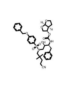 CC(C)(CCC#N)CN(C[C@@H](O)[C@H](Cc1ccccc1)NC(=O)O[C@H]1CO[C@H]2OCC[C@H]21)S(=O)(=O)c1ccc(OCc2ccccc2)cc1